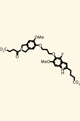 COc1cc2c(cc1OCCCOc1c(OC)cc3[nH]c(CCCC(=O)O)cc3c1F)CN(C(=O)CCC(=O)O)C2